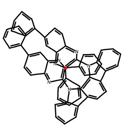 c1ccc(-c2ccc3nc(-n4c5ccccc5c5ccc6c7ccccc7n(-c7nc8ccc(-c9ccccc9)cc8nc7-c7ccccc7)c6c54)c(-c4ccccc4)nc3c2)cc1